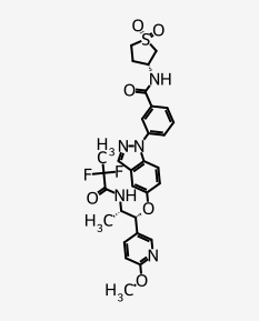 COc1ccc([C@@H](Oc2ccc3c(cnn3-c3cccc(C(=O)N[C@@H]4CCS(=O)(=O)C4)c3)c2)[C@H](C)NC(=O)C(C)(F)F)cn1